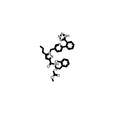 CCCc1cc(C(=O)N[C@@H](CC(=O)OC)Cc2ccccc2Cl)nn1Cc1ccc(-c2ccccc2-c2nnn[nH]2)nc1